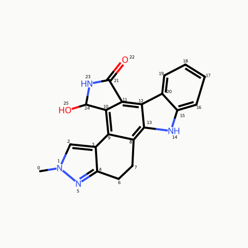 Cn1cc2c(n1)CCc1c-2c2c(c3c1[nH]c1ccccc13)C(=O)NC2O